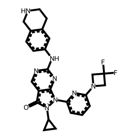 O=c1c2cnc(Nc3ccc4c(c3)CCNC4)nc2n(-c2cccc(N3CC(F)(F)C3)n2)n1C1CC1